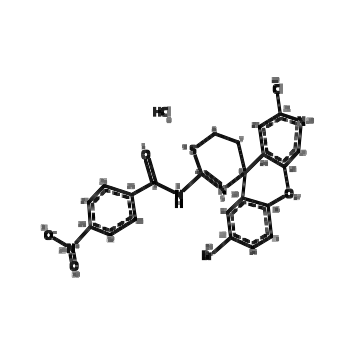 Cl.O=C(NC1=NC2(CCS1)c1cc(Br)ccc1Oc1cnc(Cl)cc12)c1ccc([N+](=O)[O-])cc1